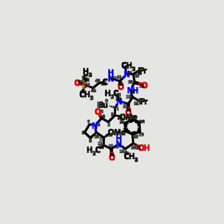 CC[C@@H](C)[C@H]([C@H](CC(=O)N1CCC[C@@H]1[C@@H](OC)[C@H](C)C(=O)N[C@@H](C)[C@H](O)c1ccccc1)OC)N(C)C(=O)C(NC(=O)C(C(C)C)N(C)C(=O)NCCC[SH](C)(C)=O)C(C)C